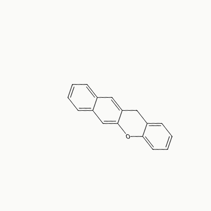 c1ccc2c(c1)Cc1cc3ccccc3cc1O2